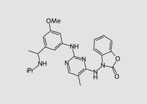 COc1cc(Nc2ncc(C)c(Nn3c(=O)oc4ccccc43)n2)cc(C(C)NC(C)C)c1